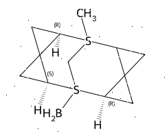 BS12CS(C)(C3CC34C[C@H]41)[C@@H]1CC13C[C@@H]32